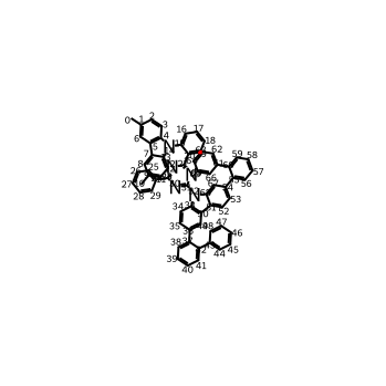 Cc1ccc2c(c1)c1cc(C)ccc1n2-c1ccccc1-c1nc(-c2ccccc2)nc(-n2c3ccc(-c4ccccc4-c4ccccc4)cc3c3ccc(-c4ccccc4-c4ccccc4)cc32)n1